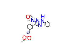 CCOC(=O)/C=C/c1cccc(-c2cnc(Nc3ccccc3)nc2N2CCOCC2)c1